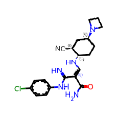 N#C[C@H]1C[C@@H](N2CCC2)CC[C@@H]1N/C=C(\C(=N)Nc1ccc(Cl)cc1)C(N)=O